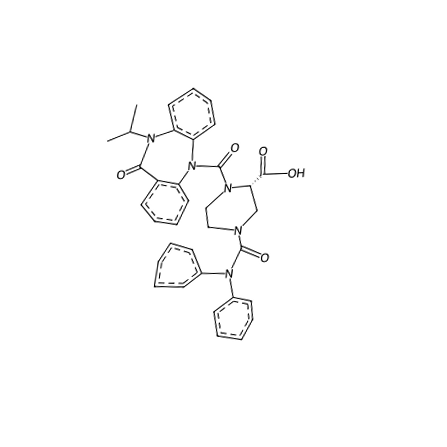 CC(C)N1C(=O)c2ccccc2N(C(=O)N2CCN(C(=O)N(c3ccccc3)c3ccccc3)C[C@H]2C(=O)O)c2ccccc21